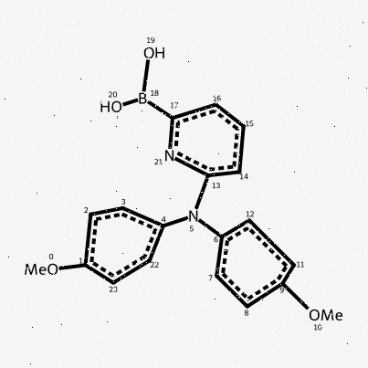 COc1ccc(N(c2ccc(OC)cc2)c2cccc(B(O)O)n2)cc1